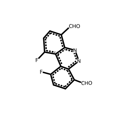 O=Cc1ccc(F)c2c1nnc1c(C=O)ccc(F)c12